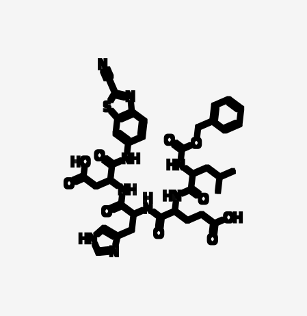 CC(C)CC(NC(=O)OCc1ccccc1)C(=O)NC(CCC(=O)O)C(=O)NC(Cc1c[nH]cn1)C(=O)NC(CC(=O)O)C(=O)Nc1ccc2nc(C#N)sc2c1